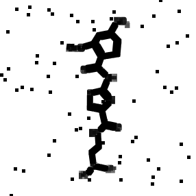 COc1cc([N+](=O)[O-])ccc1C(=O)Nc1nc(C(=O)NCCN(C(C)C)C(C)C)cs1